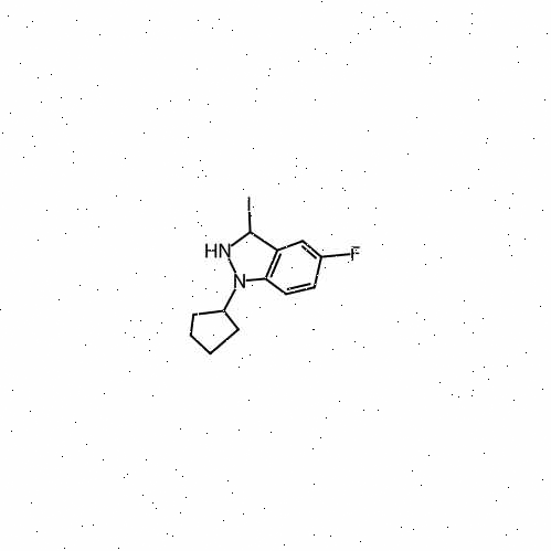 Fc1ccc2c(c1)C(I)NN2C1CCCC1